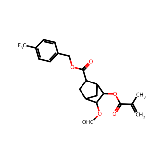 C=C(C)C(=O)OC1C2CC(CC2C(=O)OCc2ccc(C(F)(F)F)cc2)C1OC=O